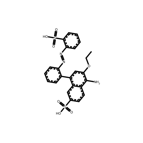 CCOc1cc(-c2ccccc2N=Nc2ccccc2S(=O)(=O)O)c2cc(S(=O)(=O)O)ccc2c1N